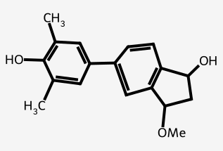 COC1CC(O)c2ccc(-c3cc(C)c(O)c(C)c3)cc21